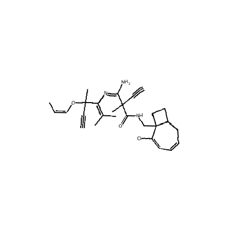 C#CC(C)(O/C=C\C)C(/N=C(/N)C(C)(C#C)C(=O)NCC12CCC1CC=CC=C2Cl)=C(C)C